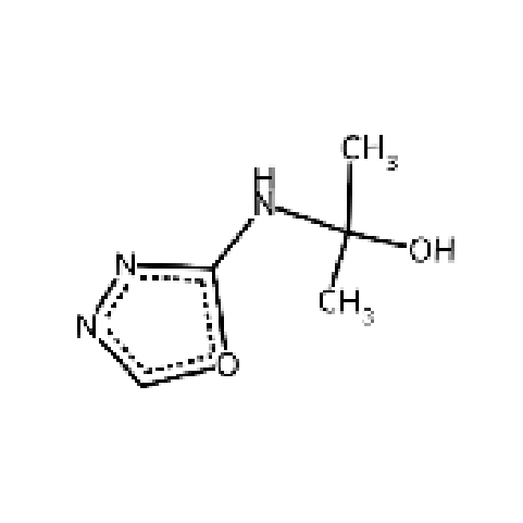 CC(C)(O)Nc1nnco1